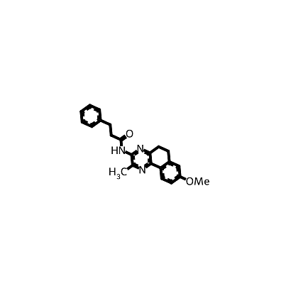 COc1ccc2c(c1)CCc1nc(NC(=O)CCc3ccccc3)c(C)nc1-2